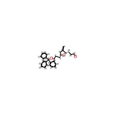 C=C1C[C@H](CCCOC(c2ccccc2)(c2ccccc2)c2ccccc2)O[C@H]1CCC=O